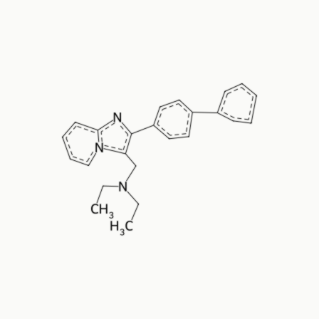 CCN(CC)Cc1c(-c2ccc(-c3ccccc3)cc2)nc2ccccn12